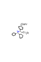 CCOC(=O)CC(N=C(c1ccccc1)c1ccccc1)c1ccc(OC)cc1